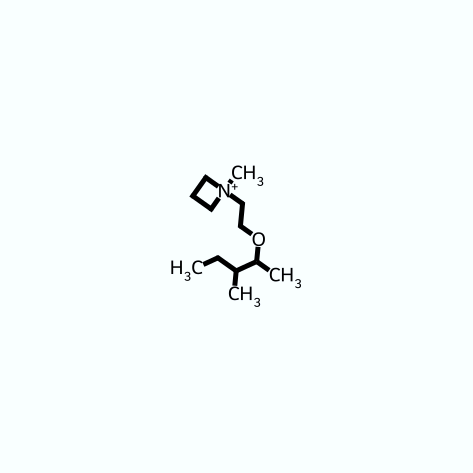 CCC(C)C(C)OCC[N+]1(C)CCC1